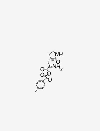 Cc1ccc(S(=O)(=O)OC(=O)[C@@H](N)C[C@@H]2CCNC2=O)cc1